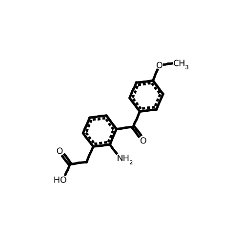 COc1ccc(C(=O)c2cccc(CC(=O)O)c2N)cc1